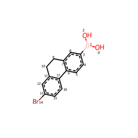 OB(O)c1ccc2c(c1)CCc1cc(Br)ccc1-2